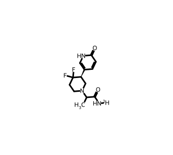 [2H]NC(=O)C(C)N1CCC(F)(F)[C@@H](c2ccc(=O)[nH]c2)C1